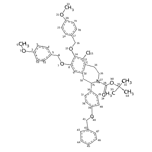 COc1ccc(COc2cc3c(c(Cl)c2OCc2ccc(OC)cc2)CCN(C(=O)OC(C)(C)C)C(c2ccc(OCc4ccccc4)cc2)C3)cc1